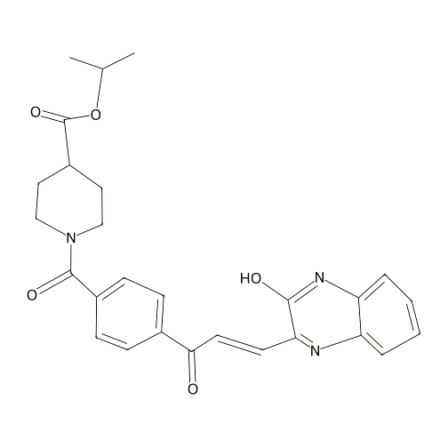 CC(C)OC(=O)C1CCN(C(=O)c2ccc(C(=O)C=Cc3nc4ccccc4nc3O)cc2)CC1